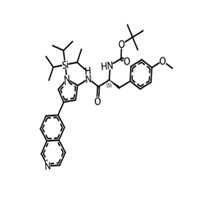 COc1ccc(C[C@H](NC(=O)OC(C)(C)C)C(=O)Nc2cc(-c3ccc4cnccc4c3)cn2[Si](C(C)C)(C(C)C)C(C)C)cc1